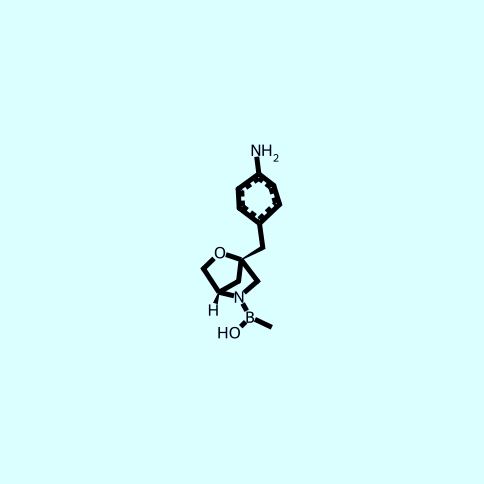 CB(O)N1C[C@]2(Cc3ccc(N)cc3)C[C@H]1CO2